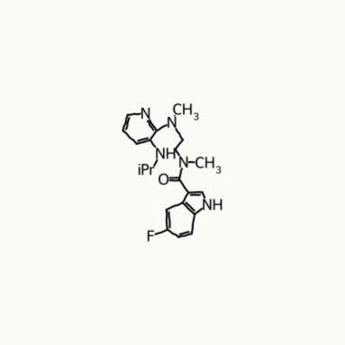 CC(C)Nc1cccnc1N(C)CCN(C)C(=O)c1c[nH]c2ccc(F)cc12